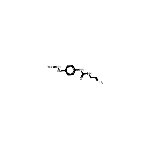 C=CCNC(=O)Nc1ccc(NNC=O)cc1